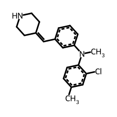 Cc1ccc(N(C)c2cccc(C=C3CCNCC3)c2)c(Cl)c1